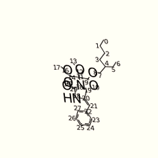 CCCCC(CC)COC(=O)C(OC)(C(=O)OC)N1CC(=Cc2ccccc2)NC1=O